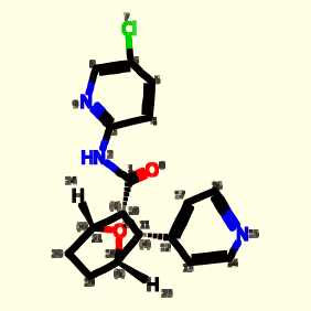 O=C(Nc1ccc(Cl)cn1)[C@@H]1[C@H](c2ccncc2)[C@@H]2CC[C@H]1O2